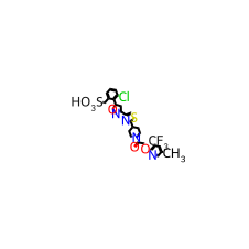 Cc1cnc(OCC(=O)N2CCC(c3nc(C4=NOC(c5c(Cl)cccc5CS(=O)(=O)O)C4)cs3)CC2)c(C(F)(F)F)c1